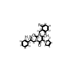 Cc1c(N2CC=CC2)c(=O)n(CC(N)c2ccccc2)c(=O)n1Cc1c(F)cccc1F